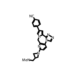 CNCC1CN(c2ccc3c(n2)Cn2cc(-c4ccc(C#N)cc4)cc2-c2nncn2-3)C1